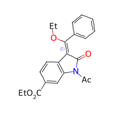 CCOC(=O)c1ccc2c(c1)N(C(C)=O)C(=O)/C2=C(/OCC)c1ccccc1